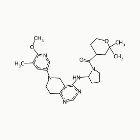 COc1ncc(N2CCc3ncnc(NC4CCCN4C(=O)C4CCOC(C)(C)C4)c3C2)cc1C